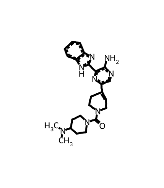 CN(C)C1CCN(C(=O)N2CC=C(c3cnc(N)c(-c4nc5ccccc5[nH]4)n3)CC2)CC1